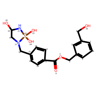 O=C(OCc1cccc(CO)c1)c1ccc(CN2CC(O)NS2(O)O)cc1